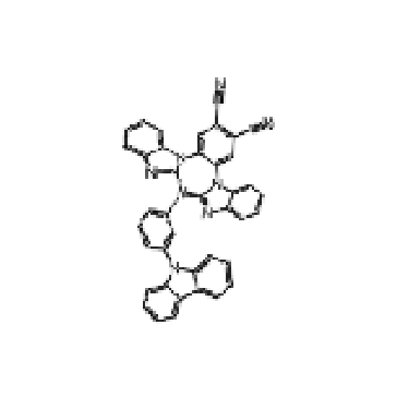 N#Cc1cc2c(cc1C#N)n1c3ccccc3nc1n(-c1cccc(-n3c4ccccc4c4ccccc43)c1)c1nc3ccccc3n21